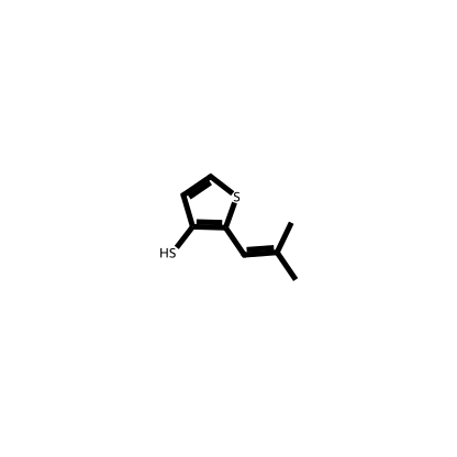 CC(C)=Cc1sccc1S